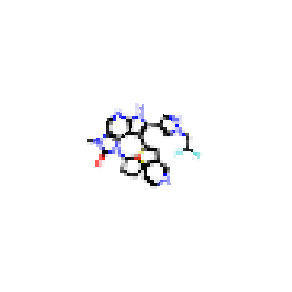 Cn1c(=O)n(C2CCCC2)c2c3c(-c4cc5cnccc5s4)c(-c4cnn(CC(F)F)c4)[nH]c3ncc21